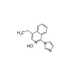 CCc1cnc(-n2ccnc2)c2ccccc12.Cl